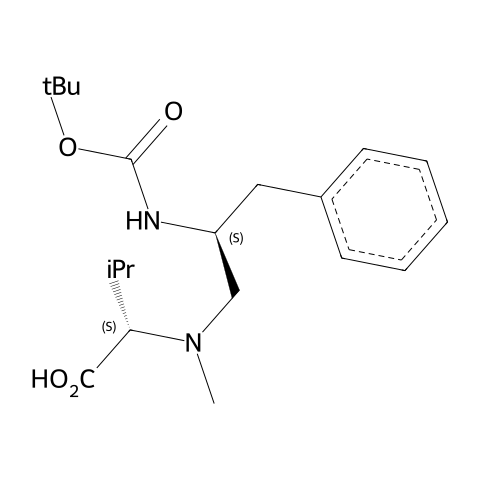 CC(C)[C@@H](C(=O)O)N(C)C[C@H](Cc1ccccc1)NC(=O)OC(C)(C)C